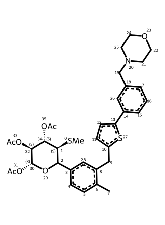 CS[C@H]1C(c2ccc(C)c(Cc3ccc(-c4cccc(CN5CCOCC5)c4)s3)c2)O[C@H](OC(C)=O)[C@@H](OC(C)=O)[C@@H]1OC(C)=O